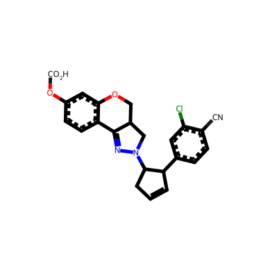 N#Cc1ccc(C2C=CCC2N2CC3COc4cc(OC(=O)O)ccc4C3=N2)cc1Cl